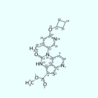 COC(=O)c1sc2nccc3c2c1NC(=O)N3c1cnc(OC2CCC2)cc1C